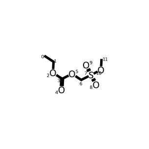 CCOC(=O)OCS(=O)(=O)OC